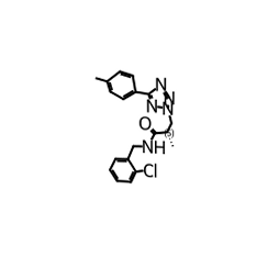 Cc1ccc(-c2nnn(C[C@H](C)C(=O)NCc3ccccc3Cl)n2)cc1